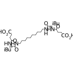 CCC(C)[C@H](NC(=O)CCC(=O)O)C(=O)NCCCCCCCCCCNC(=O)[C@@H](NC(=O)CCC(=O)O)C(C)CC